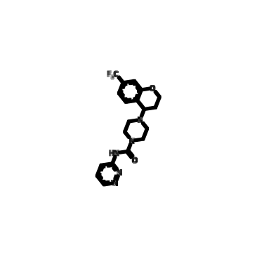 O=C(Nc1cccnn1)N1CCN(C2CCOc3cc(C(F)(F)F)ccc32)CC1